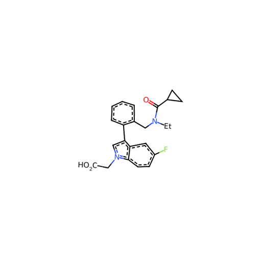 CCN(Cc1ccccc1-c1cn(CC(=O)O)c2ccc(F)cc12)C(=O)C1CC1